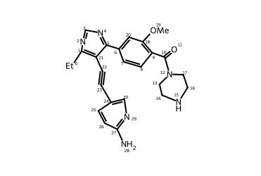 CCc1ncnc(-c2ccc(C(=O)N3CCNCC3)c(OC)c2)c1C#Cc1ccc(N)nc1